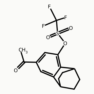 CC(=O)c1cc(OS(=O)(=O)C(F)(F)F)c2c(c1)C1CCC2CC1